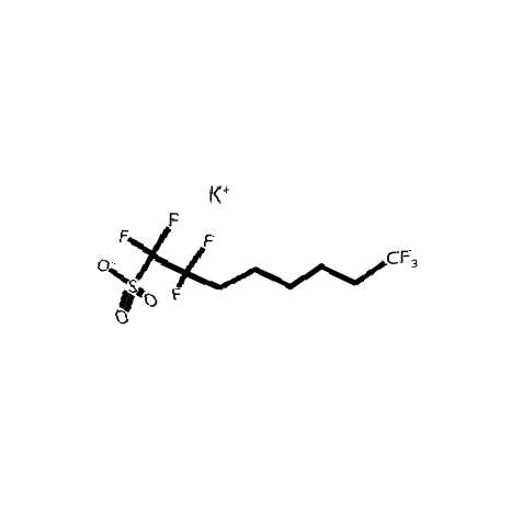 O=S(=O)([O-])C(F)(F)C(F)(F)CCCCCC(F)(F)F.[K+]